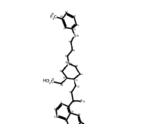 COc1ccc2nccc(C(F)CC[C@@H]3CCN(CCCSc4cccc(C(F)(F)F)c4)C[C@@H]3CC(=O)O)c2c1